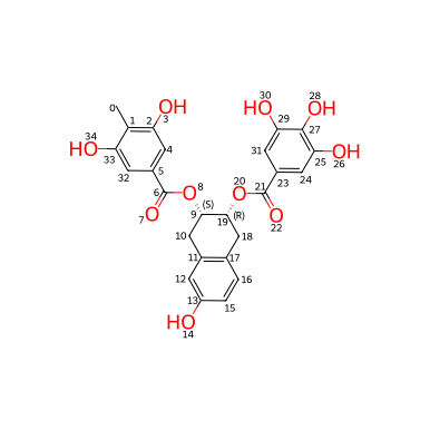 Cc1c(O)cc(C(=O)O[C@H]2Cc3cc(O)ccc3C[C@H]2OC(=O)c2cc(O)c(O)c(O)c2)cc1O